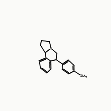 CSc1ccc(C2CN3CCCC3c3ccccc32)cc1